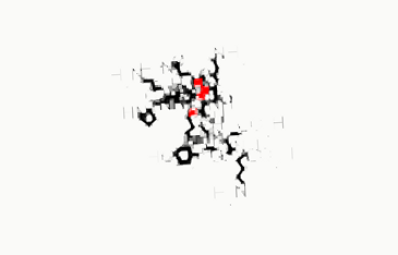 NCCCC[C@H](NC(=O)[C@H](CCC(=O)O)NC(=O)[C@H](Cc1ccc(O)cc1)NC(=O)CNC(=O)[C@H](CC(N)=O)NC(=O)[C@H](CCCCN)NC(=O)[C@H](CCC(N)=O)NC(=O)[C@H](CCCCN)NC(=O)[C@H](CCCCN)NC(=O)[C@@H]1CCCN1)C(=O)O